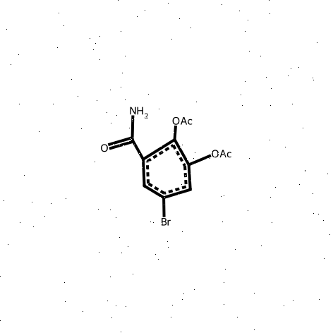 CC(=O)Oc1cc(Br)cc(C(N)=O)c1OC(C)=O